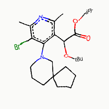 Cc1nc(C)c(C(OC(C)(C)C)C(=O)OC(C)C)c(N2CCCC3(CCCC3)C2)c1Br